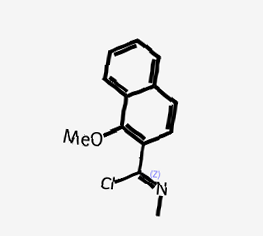 C/N=C(\Cl)c1ccc2ccccc2c1OC